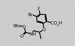 CC(CNC(=O)OC(C)(C)C)Oc1cc(Br)c(F)cc1C(=O)O